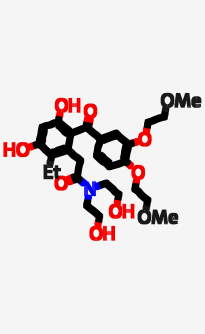 CCc1c(O)cc(O)c(C(=O)c2ccc(OCCOC)c(OCCOC)c2)c1CC(=O)N(CCO)CCO